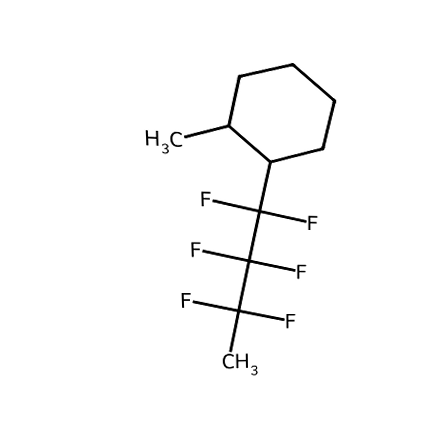 CC1CCCCC1C(F)(F)C(F)(F)C(C)(F)F